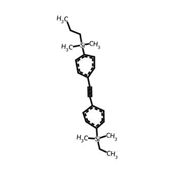 CCC[Si](C)(C)c1ccc(C#Cc2ccc([Si](C)(C)CC)cc2)cc1